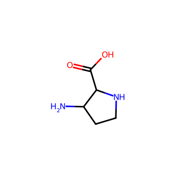 NC1CCNC1C(=O)O